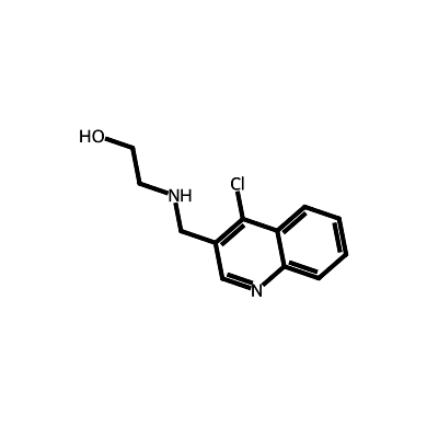 OCCNCc1cnc2ccccc2c1Cl